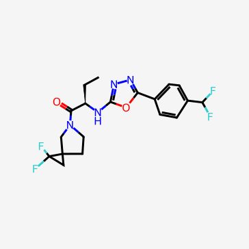 CC[C@@H](Nc1nnc(-c2ccc(C(F)F)cc2)o1)C(=O)N1CCC2(C1)CC2(F)F